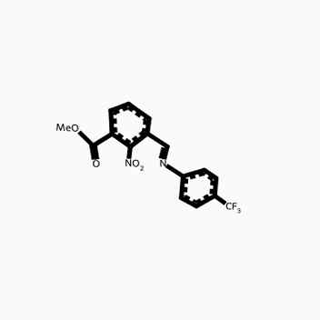 COC(=O)c1cccc(C=Nc2ccc(C(F)(F)F)cc2)c1[N+](=O)[O-]